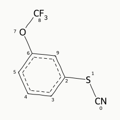 N#CSc1cccc(OC(F)(F)F)c1